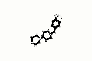 Bc1ccc(CN2CCC(N3CCOCC3)CC2)cc1